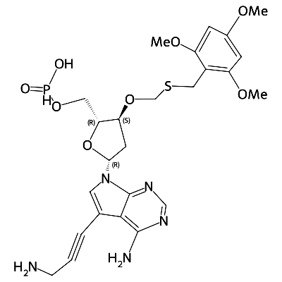 COc1cc(OC)c(CSCO[C@H]2C[C@H](n3cc(C#CCN)c4c(N)ncnc43)O[C@@H]2CO[PH](=O)O)c(OC)c1